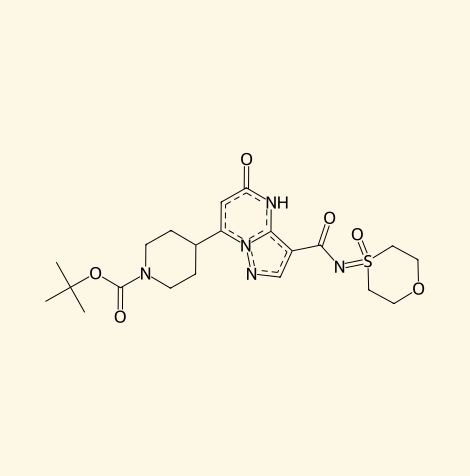 CC(C)(C)OC(=O)N1CCC(c2cc(=O)[nH]c3c(C(=O)N=S4(=O)CCOCC4)cnn23)CC1